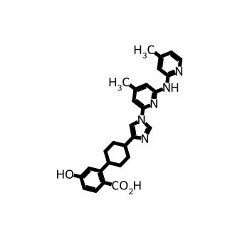 Cc1ccnc(Nc2cc(C)cc(-n3cnc(C4CCC(c5cc(O)ccc5C(=O)O)CC4)c3)n2)c1